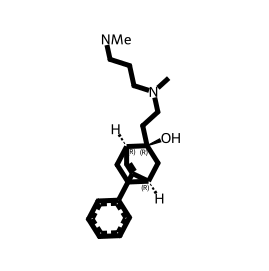 CNCCCN(C)CC[C@]1(O)C[C@H]2CC[C@@H]1C=C2c1ccccc1